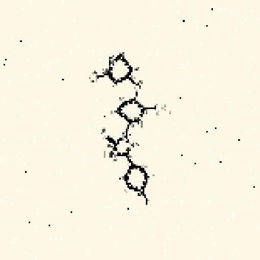 Cc1nc(-n2nc(-c3ccc(F)cc3)[nH]c2=O)ccc1Oc1ccnc(Cl)c1